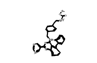 CC(C)(C)OC(=O)NCc1ccc(CNc2nc(-c3cncnc3)nc3cccc(-c4ccccc4)c23)cc1